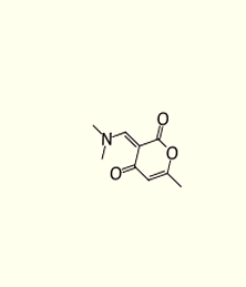 CC1=CC(=O)/C(=C\N(C)C)C(=O)O1